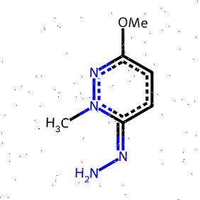 COc1ccc(=NN)n(C)n1